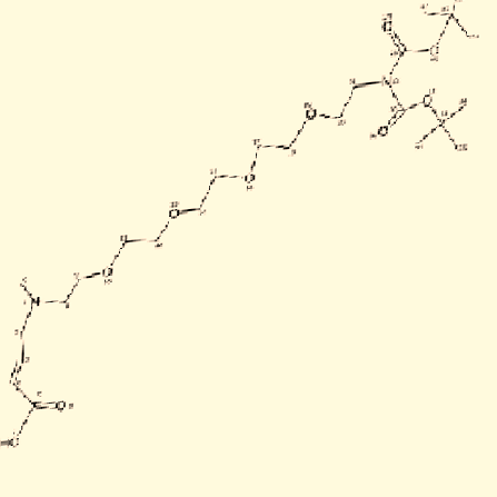 CN(C/C=C/C(=O)O)CCOCCOCCOCCOCCN(C(=O)OC(C)(C)C)C(=O)OC(C)(C)C